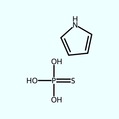 OP(O)(O)=S.c1cc[nH]c1